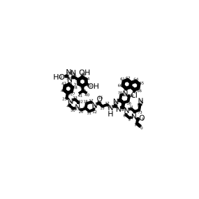 C=CC(=O)N1CCN(c2nc(NCCC(=O)N3CCC(CN4CCN(Cc5ccc(-n6c(O)nnc6-c6cc(C(C)C)c(O)cc6O)cc5)CC4)CC3)nc3c2CCN(c2cccc4cccc(Cl)c24)C3)CC1CC#N